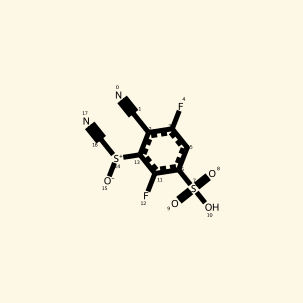 N#Cc1c(F)cc(S(=O)(=O)O)c(F)c1[S+]([O-])C#N